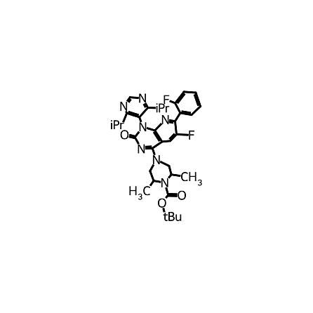 CC(C)c1ncnc(C(C)C)c1-n1c(=O)nc(N2CC(C)N(C(=O)OC(C)(C)C)C(C)C2)c2cc(F)c(-c3ccccc3F)nc21